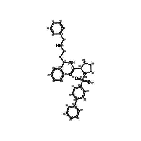 O=C(NC(CCNCc1ccccc1)c1ccccc1)C1SCCN1S(=O)(=O)c1ccc(-c2ccccc2)cc1